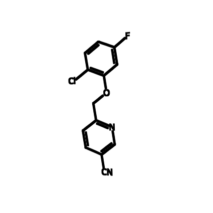 N#Cc1ccc(COc2cc(F)ccc2Cl)nc1